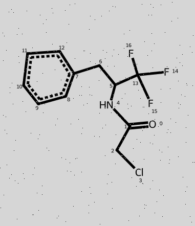 O=C(CCl)NC(Cc1ccccc1)C(F)(F)F